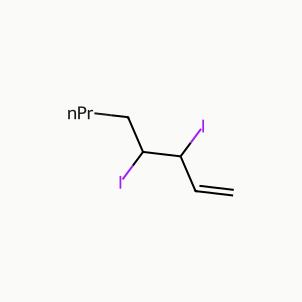 C=CC(I)C(I)CCCC